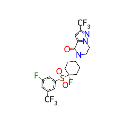 O=C1c2cc(C(F)(F)F)nn2CCN1[C@H]1CC[C@](F)(S(=O)(=O)c2cc(F)cc(C(F)(F)F)c2)CC1